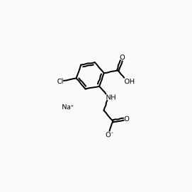 O=C([O-])CNc1cc(Cl)ccc1C(=O)O.[Na+]